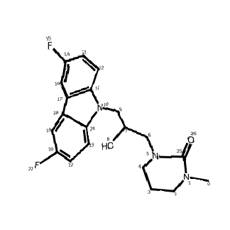 CN1CCCN(CC(O)Cn2c3ccc(F)cc3c3cc(F)ccc32)C1=O